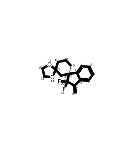 C=C1c2ccccc2[C@@]2(CCCC3(C2)OCCO3)C1(F)F